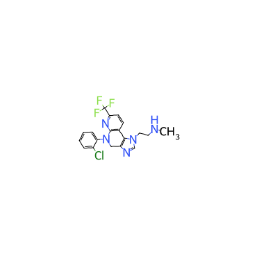 CNCCn1cnc2c1-c1ccc(C(F)(F)F)nc1N(c1ccccc1Cl)C2